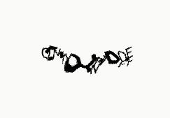 Cc1c(C2CCN(CCN3CCOCC3)CC2)cnn1-c1ccc(OC(F)(F)F)cc1